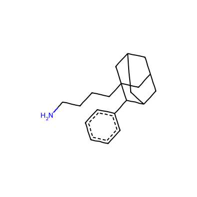 NCCCCC12CC3CC(CC(C3)C1c1ccccc1)C2